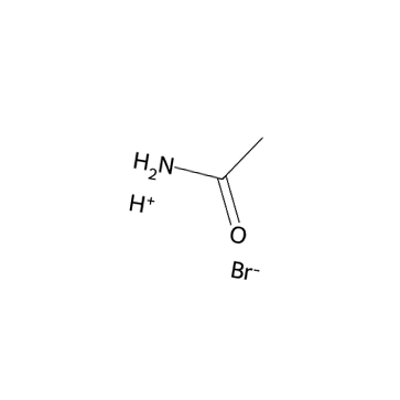 CC(N)=O.[Br-].[H+]